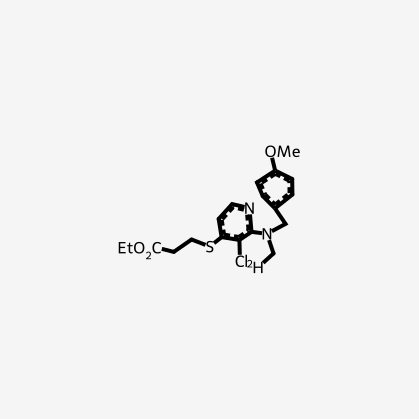 [2H]CN(Cc1ccc(OC)cc1)c1nccc(SCCC(=O)OCC)c1Cl